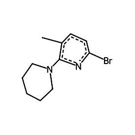 Cc1ccc(Br)nc1N1CCCCC1